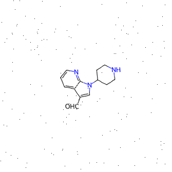 O=Cc1cn(C2CCNCC2)c2ncccc12